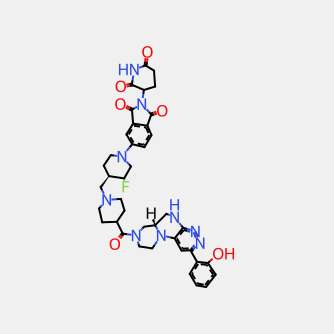 O=C1CCC(N2C(=O)c3ccc(N4CC[C@H](CN5CCC(C(=O)N6CCN7c8cc(-c9ccccc9O)nnc8NC[C@H]7C6)CC5)[C@@H](F)C4)cc3C2=O)C(=O)N1